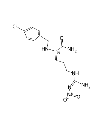 NC(=O)[C@@H](CCCNC(N)=N[N+](=O)[O-])NCc1ccc(Cl)cc1